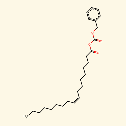 CCCCCCCC/C=C\CCCCCCCC(=O)OC(=O)OCc1ccccc1